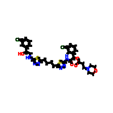 O=C(CCN1CCOCC1)OC(C(=O)Nc1nnc(CCCCc2nnc(NCC(O)c3cccc(Cl)c3)s2)s1)c1cccc(Cl)c1